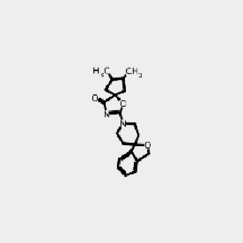 CC1CC2(CC1C)OC(N1CCC3(CC1)OCc1ccccc13)=NC2=O